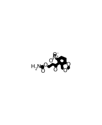 NC(=O)OCCC(=O)c1c([N+](=O)[O-])ccc2c1COCO2